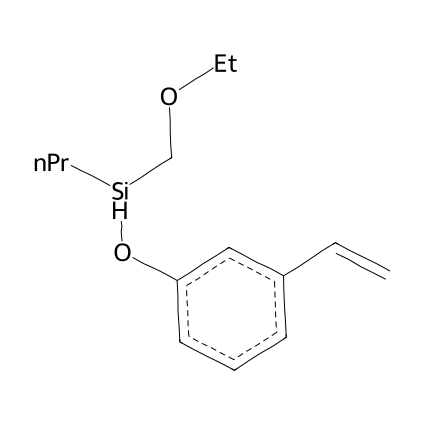 C=Cc1cccc(O[SiH](CCC)COCC)c1